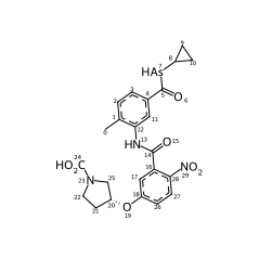 Cc1ccc(C(=O)[AsH]C2CC2)cc1NC(=O)c1cc(O[C@@H]2CCN(C(=O)O)C2)ccc1[N+](=O)[O-]